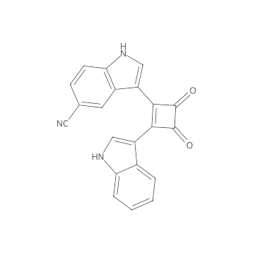 N#Cc1ccc2[nH]cc(-c3c(-c4c[nH]c5ccccc45)c(=O)c3=O)c2c1